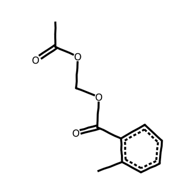 CC(=O)OCOC(=O)c1ccccc1C